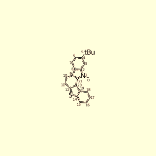 Cn1c2cc(C(C)(C)C)ccc2c2ccc3sc4ccccc4c3c21